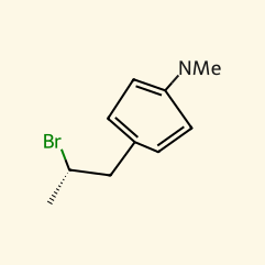 CNc1ccc(C[C@H](C)Br)cc1